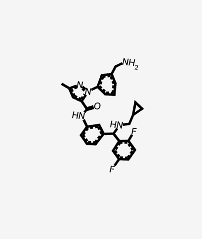 Cc1cc(C(=O)Nc2cccc(C(NCC3CC3)c3cc(F)ccc3F)c2)n(-c2cccc(CN)c2)n1